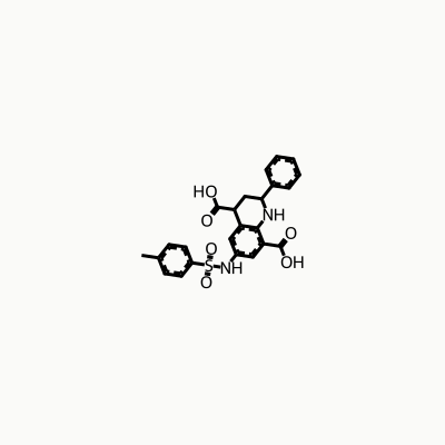 Cc1ccc(S(=O)(=O)Nc2cc(C(=O)O)c3c(c2)C(C(=O)O)CC(c2ccccc2)N3)cc1